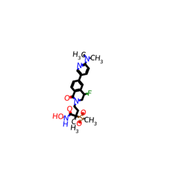 CN(C)c1ccc(-c2ccc3c(c2)C(F)CN(CCC(C)(C(=O)NO)S(C)(=O)=O)C3=O)cn1